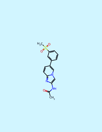 CC(=O)Nc1cn2cc(-c3cccc(S(C)(=O)=O)c3)ccc2n1